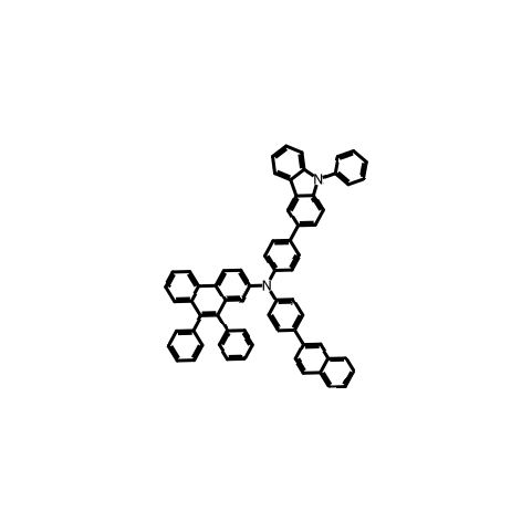 c1ccc(-c2c(-c3ccccc3)c3cc(N(c4ccc(-c5ccc6ccccc6c5)cc4)c4ccc(-c5ccc6c(c5)c5ccccc5n6-c5ccccc5)cc4)ccc3c3ccccc23)cc1